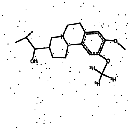 [2H]C([2H])([2H])Oc1cc2c(cc1OC)CCN1CC(C(O)C(C)C)CCC21